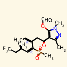 C=C(/C=C(\C(=C/C)CC(=O)c1c(C)nn(C)c1OC=O)S(C)(=O)=O)CC(F)(F)F